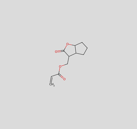 C=CC(=O)OCC1C(=O)OC2CCCC21